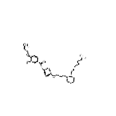 CCCCCCCC1CCCCC1CCCOc1ccc(OC(=O)c2ccc(OCCC)c(F)c2)cc1